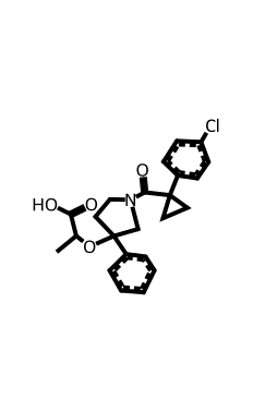 CC(OC1(c2ccccc2)CCN(C(=O)C2(c3ccc(Cl)cc3)CC2)C1)C(=O)O